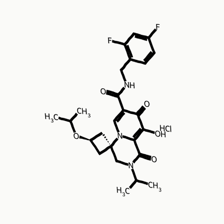 CC(C)O[C@H]1C[C@]2(CN(C(C)C)C(=O)c3c(O)c(=O)c(C(=O)NCc4ccc(F)cc4F)cn32)C1.Cl